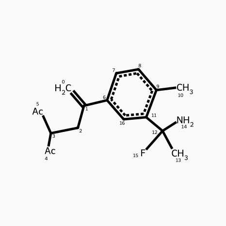 C=C(CC(C(C)=O)C(C)=O)c1ccc(C)c(C(C)(N)F)c1